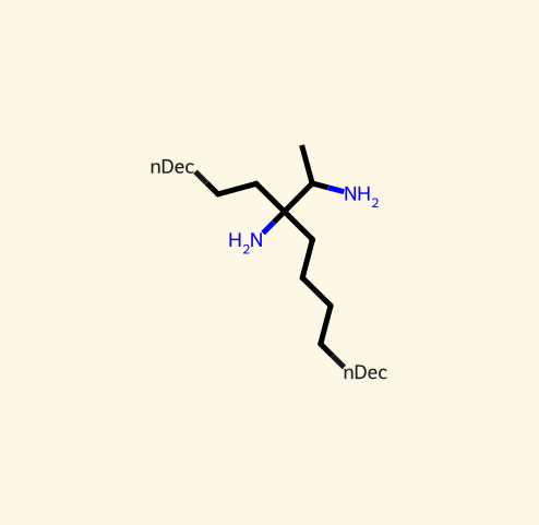 CCCCCCCCCCCCCCC(N)(CCCCCCCCCCCC)C(C)N